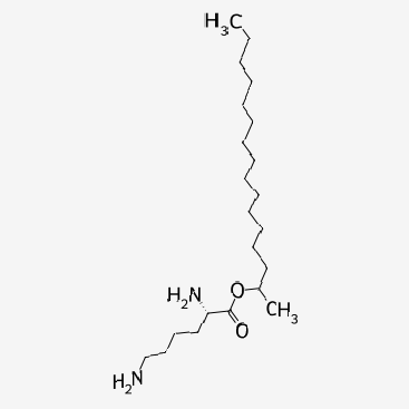 CCCCCCCCCCCCCCC(C)OC(=O)[C@@H](N)CCCCN